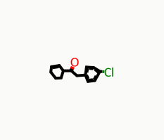 O=C(Cc1ccc(Cl)cc1)C1C=CCCC1